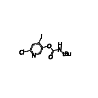 CC(C)(C)NC(=O)Oc1cnc(Cl)cc1I